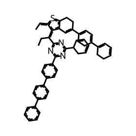 C/C=c1/sc2c(/c1=C(/CC)c1nc(-c3ccc(-c4ccc(-c5ccccc5)cc4)cc3)nc(C3C=CC=CC3)n1)C=C(C1=CC=C(C3=CC=CCC3)CC1)CC2